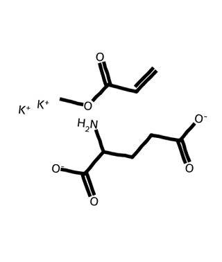 C=CC(=O)OC.NC(CCC(=O)[O-])C(=O)[O-].[K+].[K+]